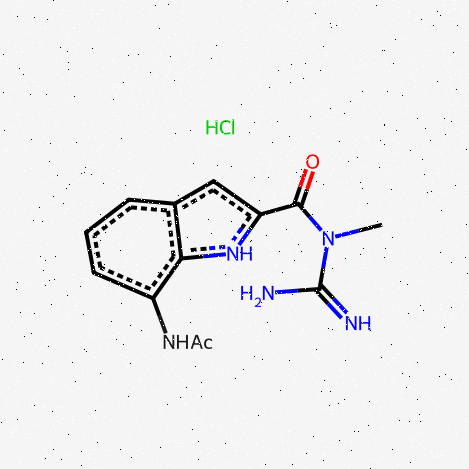 CC(=O)Nc1cccc2cc(C(=O)N(C)C(=N)N)[nH]c12.Cl